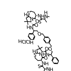 CNC(C)C(=S)N[C@H]1CCS[C@H]2CC(C)(C)[C@@H](C(=O)NC(COCc3ccc(COCC(NC(=O)[C@H]4N5C(=O)[C@@H](NC(=S)C(C)NC)CCS[C@H]5CC4(C)C)c4ccccc4)cc3)c3ccccc3)N2C1=O.Cl.Cl